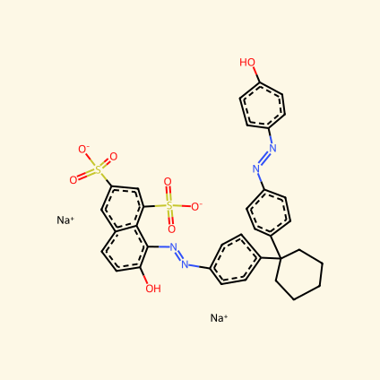 O=S(=O)([O-])c1cc(S(=O)(=O)[O-])c2c(N=Nc3ccc(C4(c5ccc(N=Nc6ccc(O)cc6)cc5)CCCCC4)cc3)c(O)ccc2c1.[Na+].[Na+]